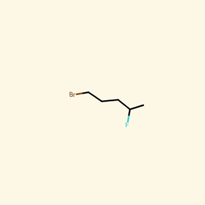 CC(F)CCCBr